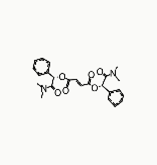 CN(C)C(=O)[C@@H](OC(=O)/C=C/C(=O)O[C@H](C(=O)N(C)C)c1ccccc1)c1ccccc1